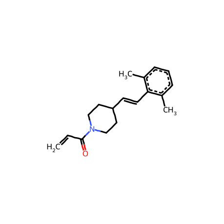 C=CC(=O)N1CCC(C=Cc2c(C)cccc2C)CC1